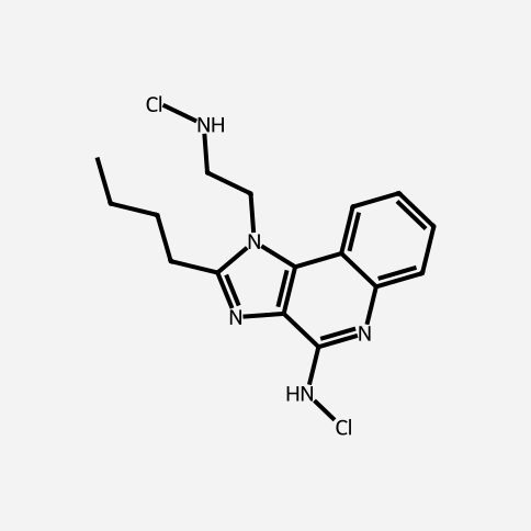 CCCCc1nc2c(NCl)nc3ccccc3c2n1CCNCl